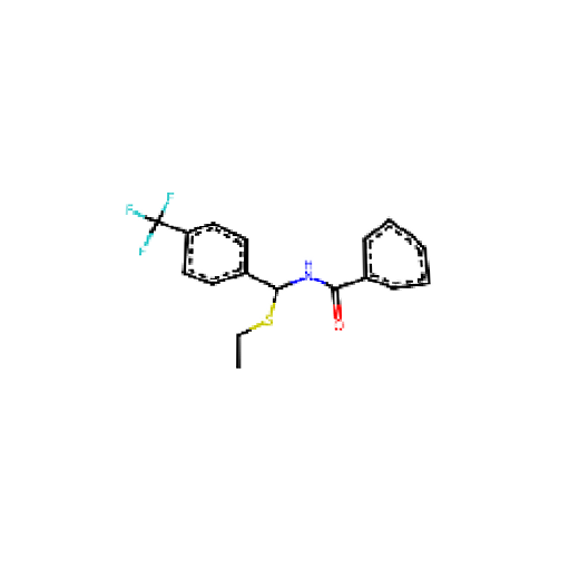 CCSC(NC(=O)c1ccccc1)c1ccc(C(F)(F)F)cc1